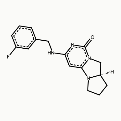 O=c1nc(NCc2cccc(F)c2)cc2n1C[C@H]1CCCN21